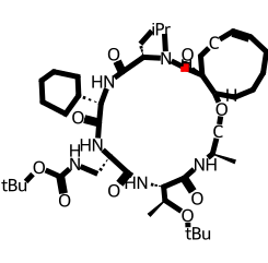 CC(C)C[C@H]1C(=O)N[C@@H](C2CCCCC2)C(=O)N[C@@H](CNC(=O)OC(C)(C)C)C(=O)N[C@@H]([C@H](C)OC(C)(C)C)C(=O)N[C@H](C)CO[C@@H]2CCCC/C=C\CC[C@H]2C(=O)N1C